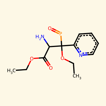 CCOC(=O)C(N)C(OCC)(P=O)c1ccccn1